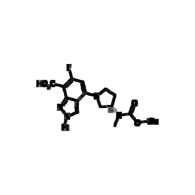 CCn1cc2c(N3CC[C@H](N(C)C(=O)OC(C)(C)C)C3)cc(F)c(C(=O)O)c2n1